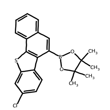 CC1(C)OB(c2cc3ccccc3c3sc4cc(Cl)ccc4c23)OC1(C)C